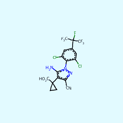 N#Cc1nn(-c2c(Cl)cc(C(F)(C(F)(F)F)C(F)(F)F)cc2Cl)c(N)c1C1(C(=O)O)CC1